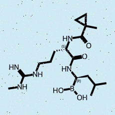 CNC(=N)NCCC[C@H](NC(=O)C1(C)CC1)C(=O)N[C@@H](CC(C)C)B(O)O